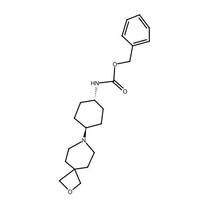 O=C(N[C@H]1CC[C@H](N2CCC3(CC2)COC3)CC1)OCc1ccccc1